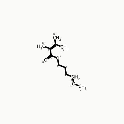 CO[SiH2]CCCOC(=O)C(C)=C(C)C